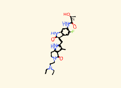 CCN(CC)CCN1CCc2[nH]c(C=C3C(=O)Nc4cc(NC(=O)[C@H](C)O)c(F)cc43)c(C)c2C1=O